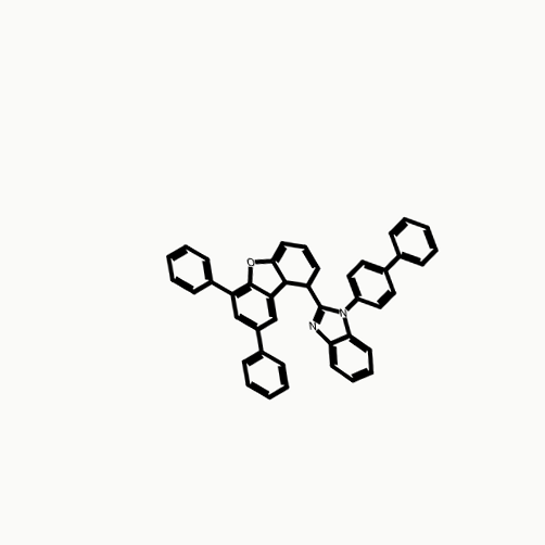 C1=CC(c2nc3ccccc3n2-c2ccc(-c3ccccc3)cc2)C2C(=C1)Oc1c(-c3ccccc3)cc(-c3ccccc3)cc12